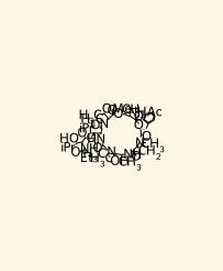 C=C1C(=O)N[C@@H](C)C(O)N(C)[C@@H](C)C(=O)N[C@@H]([C@H](OC(=O)[C@@H](NC(=O)CC)[C@H](O)C(C)C)C(C)C)C(=O)N(C)[C@@H]([C@@H](C)OC)C(=O)O[C@H](C)[C@H](NC(C)=O)C(=O)O[C@H](Cc2ccccc2)C(=O)N1C